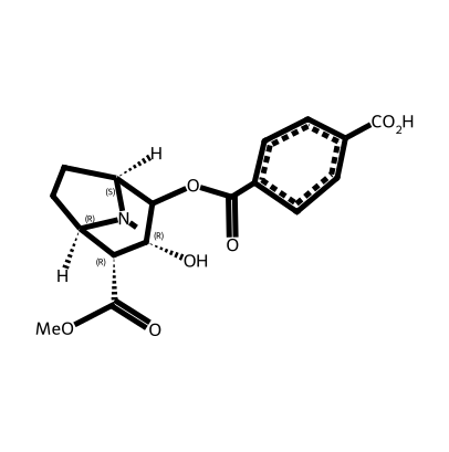 COC(=O)[C@@H]1[C@H]2CC[C@@H](C(OC(=O)c3ccc(C(=O)O)cc3)[C@@H]1O)N2C